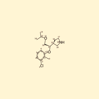 Cc1c(Cl)cccc1O[C@@H](COC(C)C)[C@H]1CCNC1